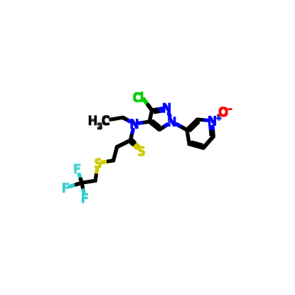 CCN(C(=S)CCSCC(F)(F)F)c1cn(-c2ccc[n+]([O-])c2)nc1Cl